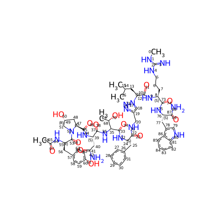 CNC(=N)NCCC[C@H](NC(=O)[C@H](CC(C)C)n1cc(CNC(=O)[C@H](Cc2ccccc2)NC(=O)C(NC(=O)[C@H](CC(N)=O)NC(=O)[C@@H]2C[C@@H](O)CN2C(=O)[C@@H](Cc2ccc(O)cc2)NC(C)=O)C(C)O)nn1)C(=O)N[C@@H](Cc1c[nH]c2ccccc12)C(N)=O